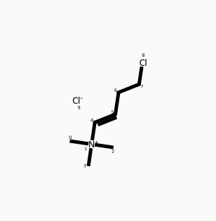 C[N+](C)(C)C=CCCCl.[Cl-]